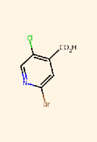 O=C(O)c1cc(Br)ncc1Cl